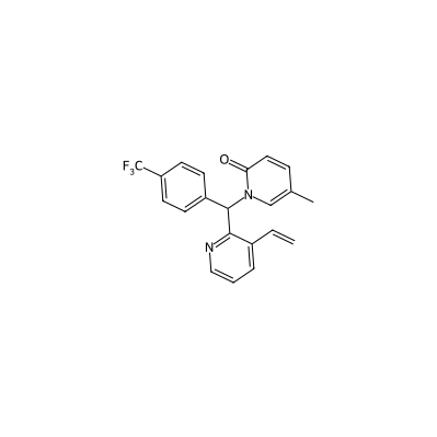 C=Cc1cccnc1C(c1ccc(C(F)(F)F)cc1)n1cc(C)ccc1=O